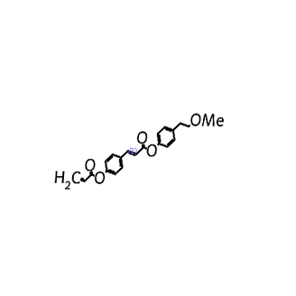 C=CC(=O)Oc1ccc(/C=C/C(=O)Oc2ccc(CCOC)cc2)cc1